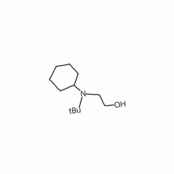 CC(C)(C)N(CCO)C1CCCCC1